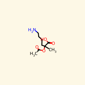 CC(=O)OC(C)(CCCCN)C(=O)O